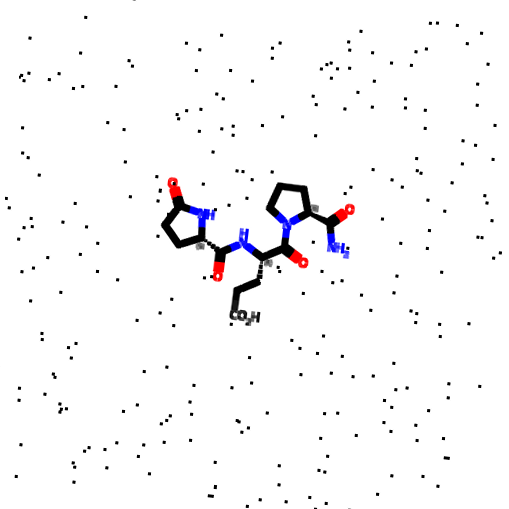 NC(=O)[C@@H]1CCCN1C(=O)[C@H](CCC(=O)O)NC(=O)[C@@H]1CCC(=O)N1